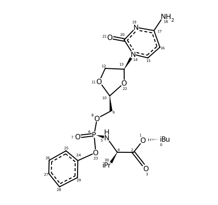 CC[C@@H](C)OC(=O)[C@H](N[P@@](=O)(OC[C@H]1OC[C@@H](n2ccc(N)nc2=O)O1)Oc1ccccc1)C(C)C